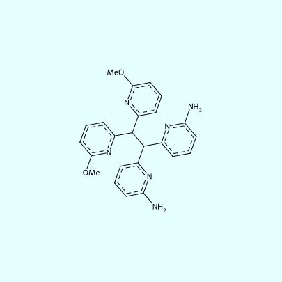 COc1cccc(C(c2cccc(OC)n2)C(c2cccc(N)n2)c2cccc(N)n2)n1